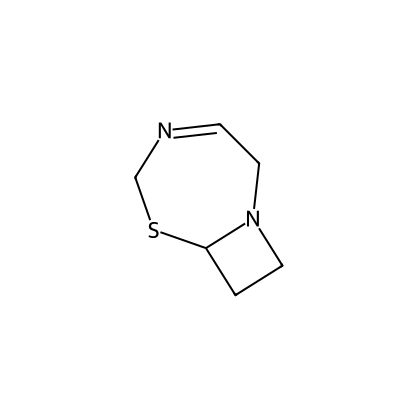 C1=NCSC2CCN2C1